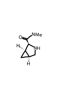 CNC(=O)[C@H]1NC[C@H]2C[C@H]21